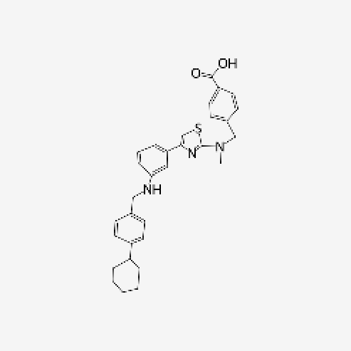 CN(Cc1ccc(C(=O)O)cc1)c1nc(-c2cccc(NCc3ccc(C4CCCCC4)cc3)c2)cs1